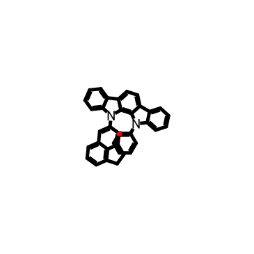 c1ccc(-n2c3ccccc3c3ccc4c5ccccc5n(-c5cc6c7c(cccc7c5)CC6)c4c32)cc1